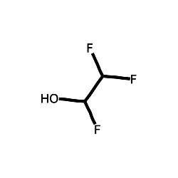 OC(F)C(F)F